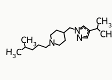 CC(C)CCCN1CCC(Cn2cc(C(C)C)cn2)CC1